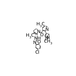 Cc1cnc(-c2cnn(C)c2)c(C(=O)N2CCC[C@@H](C)[C@H]2CNc2nc3cc(Cl)ccc3o2)c1